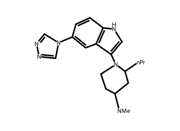 CCCC1CC(NC)CCN1c1c[nH]c2ccc(-n3cnnc3)cc12